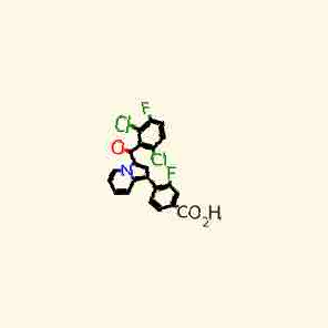 O=C(O)c1ccc(-c2cc(C(=O)c3c(Cl)ccc(F)c3Cl)n3ccccc23)c(F)c1